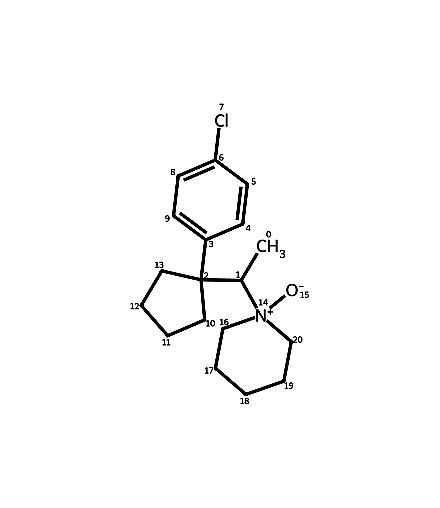 CC(C1(c2ccc(Cl)cc2)CCCC1)[N+]1([O-])CCCCC1